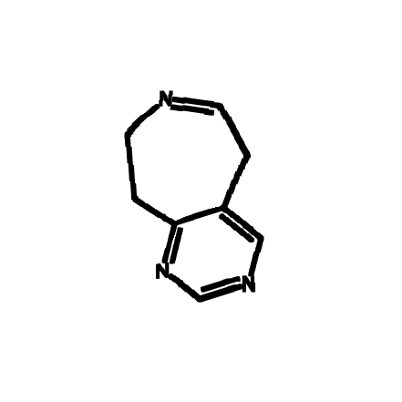 C1=NCCc2ncncc2C1